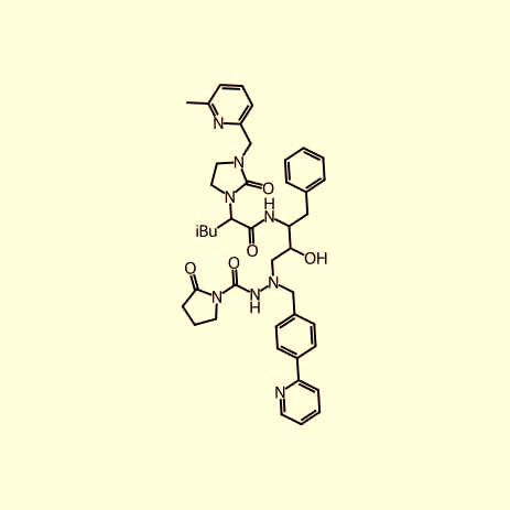 CCC(C)C(C(=O)NC(Cc1ccccc1)C(O)CN(Cc1ccc(-c2ccccn2)cc1)NC(=O)N1CCCC1=O)N1CCN(Cc2cccc(C)n2)C1=O